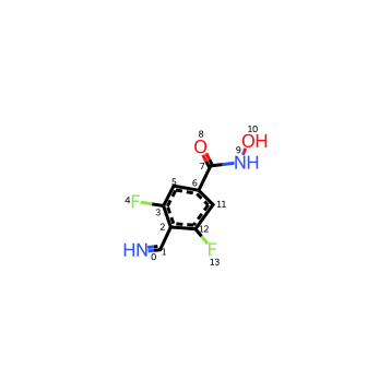 N=Cc1c(F)cc(C(=O)NO)cc1F